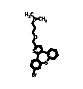 CN(C)CCCOCc1cc2c(s1)-c1ccc(Br)cc1Sc1ccccc1-2